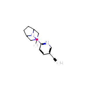 C#Cc1ccc(N2CC3CCC(C2)N3CC(F)(F)F)nc1